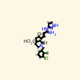 C=C(CC1(C(=O)O)CCN(Cc2cccc(Cl)c2F)C(CC)C1)/C(F)=C\C=C(/N)Nc1cc[nH]n1